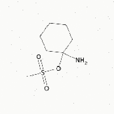 CS(=O)(=O)OC1(N)CCCCC1